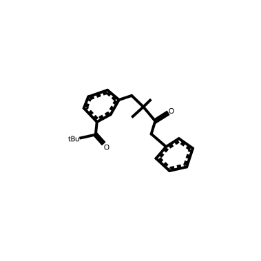 CC(C)(C)C(=O)c1cccc(CC(C)(C)C(=O)Cc2ccccc2)c1